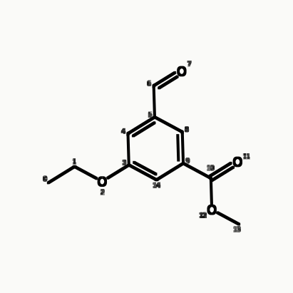 CCOc1cc(C=O)cc(C(=O)OC)c1